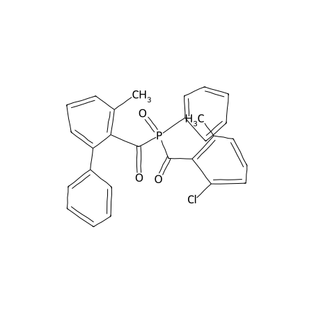 Cc1cccc(Cl)c1C(=O)P(=O)(C(=O)c1c(C)cccc1-c1ccccc1)c1ccccc1